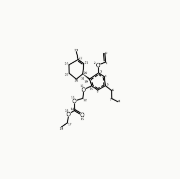 C=COc1cc(CCC)cc(OCOC(=O)OCC)c1[C@@H]1C=C(C)CCC1